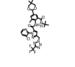 Cc1cc(C2OCC(C)(C)CO2)cc(C(=O)NC(C)(C)C)c1NC(=O)c1cc(Cn2nnc(C(F)(F)F)n2)nn1-c1ncccc1Cl